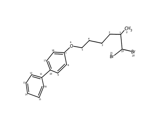 CC(CCCCOc1ccc(-c2ccccc2)cc1)C(Br)Br